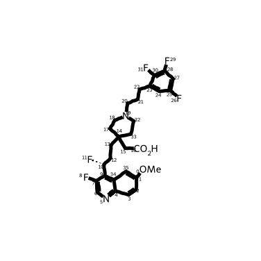 COc1ccc2ncc(F)c([C@H](F)CCC3(CC(=O)O)CCN(CCCc4cc(F)cc(F)c4F)CC3)c2c1